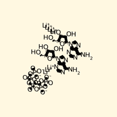 Nc1ncnc2c1ncn2[C@@H]1O[C@H](CO)[C@@H](O)[C@H]1O.Nc1ncnc2c1ncn2[C@@H]1O[C@H](CO)[C@@H](O)[C@H]1O.O=P([O-])([O-])OP(=O)([O-])OP(=O)([O-])OP(=O)([O-])OP(=O)([O-])[O-].[Li+].[Li+].[Li+].[Li+].[Li+].[Li+].[Li+]